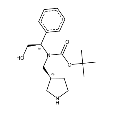 CC(C)(C)OC(=O)N(C[C@H]1CCNC1)[C@@H](CO)c1ccccc1